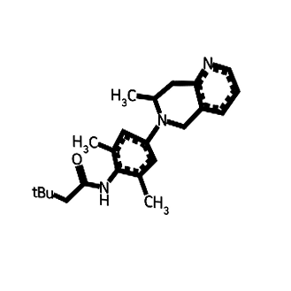 Cc1cc(N2Cc3cccnc3CC2C)cc(C)c1NC(=O)CC(C)(C)C